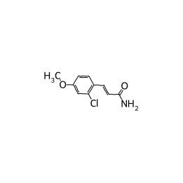 COc1ccc(C=CC(N)=O)c(Cl)c1